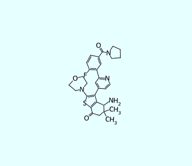 CC1(C)CC(=O)c2sc(N3CCOCC3)c(-c3ccnc(-c4cc(C(=O)N5CCCC5)ccc4F)c3)c2C1N